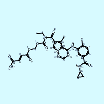 CCN(C(=O)OCOC(=O)/C=C/C(=O)O)C(=O)c1cn2ncnc(Nc3cc(C(=O)NC4CC4)ccc3C)c2c1C